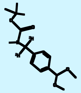 [2H]C([2H])(c1ccc(C(OC)OC)cc1)N(C)C(=O)OC(C)(C)C